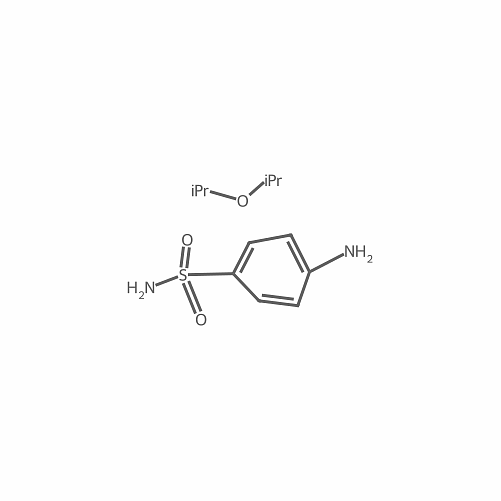 CC(C)OC(C)C.Nc1ccc(S(N)(=O)=O)cc1